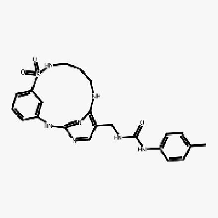 Cc1ccc(NC(=O)NCc2cnc3nc2NCCCNS(=O)(=O)c2cccc(c2)N3)cc1